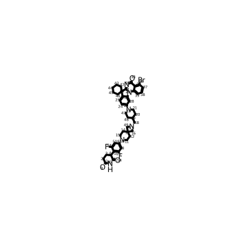 O=C1CCC(c2c(F)cc(N3CCC4(CC3)CN(CC3CCN(c5ccc6c(c5)-n5c(nc(=O)c7c(Br)cccc75)C65CCCCC5)CC3)C4)cc2F)C(=O)N1